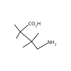 CC(C)(CN)C(C)(C)C(=O)O